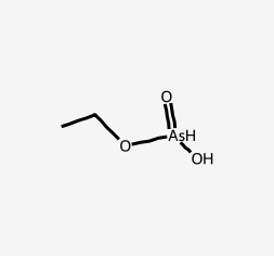 CCO[AsH](=O)O